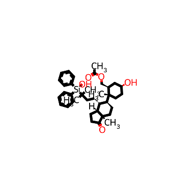 CC(=O)OC[C@H]1C[C@@H](O)CC[C@]1(C)[C@H]1CC[C@]2(C)C(=O)CC[C@H]2[C@@H]1CCC(C)(C)[Si](O)(c1ccccc1)c1ccccc1